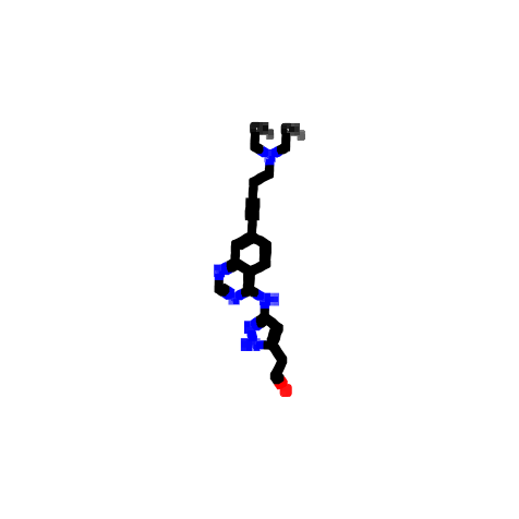 CCN(CC)CCC#Cc1ccc2c(Nc3cc(CC=O)[nH]n3)ncnc2c1